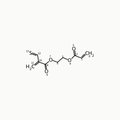 C=CC(=O)OCCOC(=O)C(=C)C=S